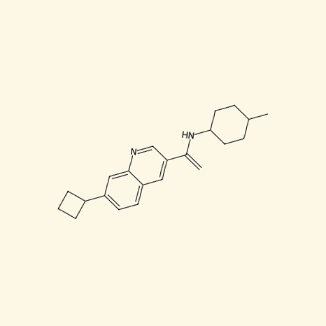 C=C(NC1CCC(C)CC1)c1cnc2cc(C3CCC3)ccc2c1